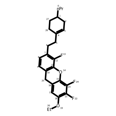 CCCC1CC=C(CCc2ccc3c(c2F)Oc2c(cc(OCC)c(F)c2F)C3)CC1